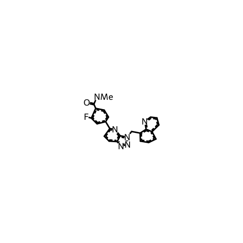 CNC(=O)c1ccc(-c2ccc3nnn(Cc4cccc5cccnc45)c3n2)cc1F